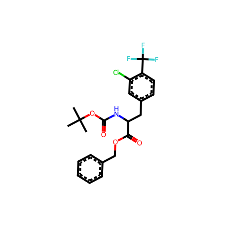 CC(C)(C)OC(=O)NC(Cc1ccc(C(F)(F)F)c(Cl)c1)C(=O)OCc1ccccc1